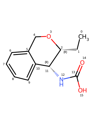 CC[C@H]1OCc2ccccc2[C@H]1NC(=O)O